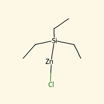 CC[Si](CC)(CC)[Zn][Cl]